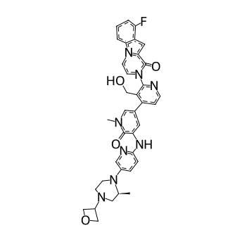 C[C@H]1CN(C2COC2)CCN1c1ccc(Nc2cc(-c3ccnc(-n4ccn5c(cc6c(F)cccc65)c4=O)c3CO)cn(C)c2=O)nc1